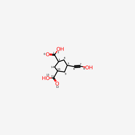 O=C(O)C1CC(C#CO)CC(C(=O)O)C1